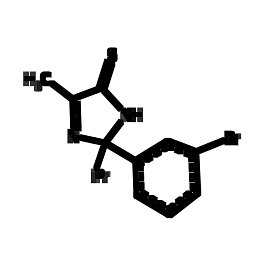 CC1=NC(c2cccc(Br)c2)(C(C)C)NC1=S